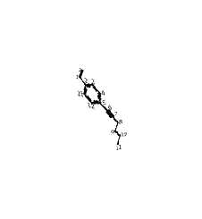 C=Cc1ccc(C#CCCCC)cc1